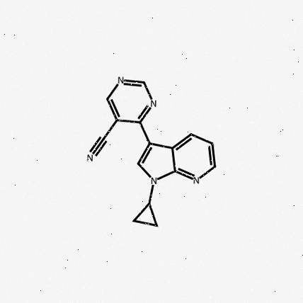 N#Cc1cncnc1-c1cn(C2CC2)c2ncccc12